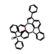 O=P(c1ccccc1)(c1ccccc1)c1ccc(-n2c3ccccc3c3ccc4c(-c5ccccc5)cn(-c5ccccc5)c4c32)cc1